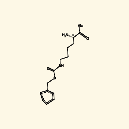 CC(C)(C)C(=O)[C@@H](N)CCCCNC(=O)OCc1ccccc1